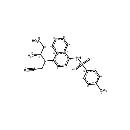 C#CCN(c1ccc(NS(=O)(=O)c2ccc(OC)cc2)c2ccccc12)[C@@H](C)CC(=O)O